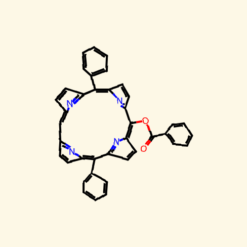 O=C(OC1=C2C=CC(=N2)C(c2ccccc2)=C2C=CC(=N2)C=C2C=CC(=N2)C(c2ccccc2)=C2C=CC1=N2)c1ccccc1